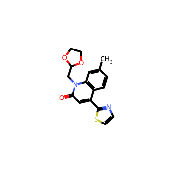 Cc1ccc2c(-c3nccs3)cc(=O)n(CC3OCCO3)c2c1